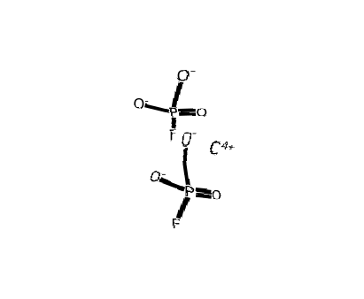 O=P([O-])([O-])F.O=P([O-])([O-])F.[C+4]